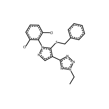 CCn1nnc(-c2cnn(-c3c(Cl)cccc3Cl)c2SCc2ccccc2)n1